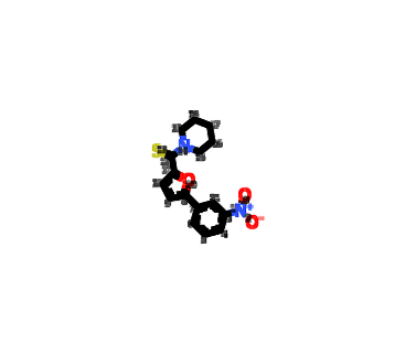 O=[N+]([O-])c1cccc(-c2ccc(C(=S)N3CCCCC3)o2)c1